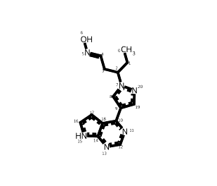 CCC(C/C=N/O)n1cc(-c2ncnc3[nH]ccc23)cn1